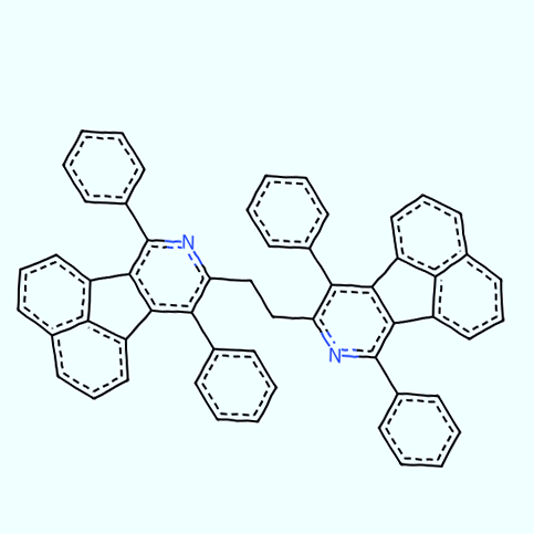 c1ccc(-c2nc(CCc3nc(-c4ccccc4)c4c(c3-c3ccccc3)-c3cccc5cccc-4c35)c(-c3ccccc3)c3c2-c2cccc4cccc-3c24)cc1